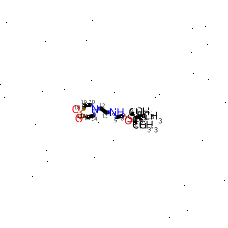 CC(C)(C)[Si](C)(C)OCCNCCN1CCS(=O)(=O)CC1